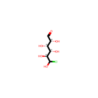 O=C[C@H](O)[C@@H](O)[C@H](O)[C@H](O)C(O)Cl